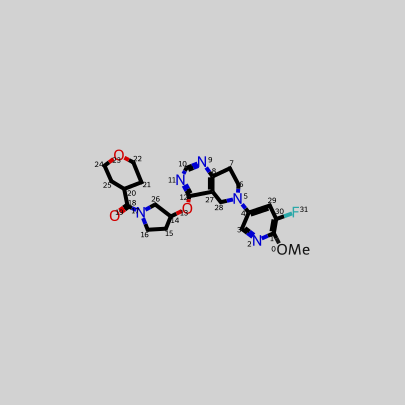 COc1ncc(N2CCc3ncnc(OC4CCN(C(=O)C5CCOCC5)C4)c3C2)cc1F